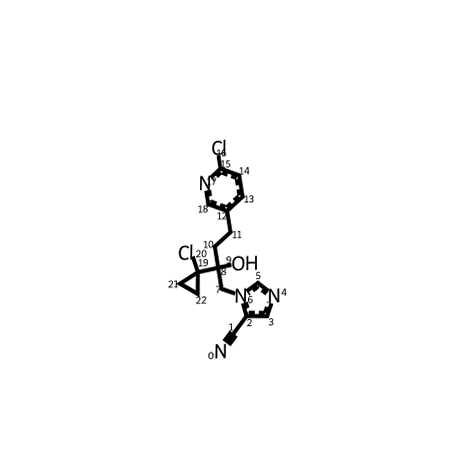 N#Cc1cncn1CC(O)(CCc1ccc(Cl)nc1)C1(Cl)CC1